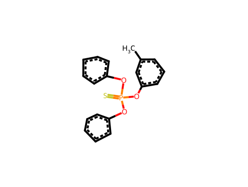 Cc1cccc(OP(=S)(Oc2ccccc2)Oc2ccccc2)c1